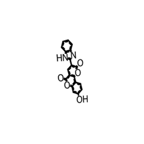 O=c1oc2c(cc1-c1nc3ccccc3[nH]1)c(=O)oc1cc(O)ccc12